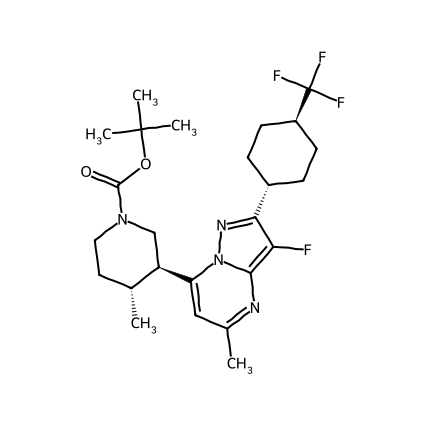 Cc1cc([C@@H]2CN(C(=O)OC(C)(C)C)CC[C@H]2C)n2nc([C@H]3CC[C@H](C(F)(F)F)CC3)c(F)c2n1